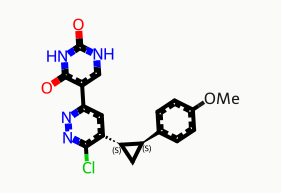 COc1ccc([C@H]2C[C@@H]2c2cc(-c3c[nH]c(=O)[nH]c3=O)nnc2Cl)cc1